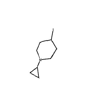 IC1CCN(C2CC2)CC1